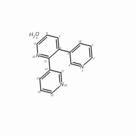 O.c1cncc(-c2cccnc2-c2cccnc2)c1